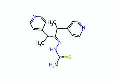 CC(C(=NNC(N)=S)C(C)c1ccncc1)c1ccncc1